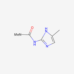 CNC(=O)Nc1ncc(C)[nH]1